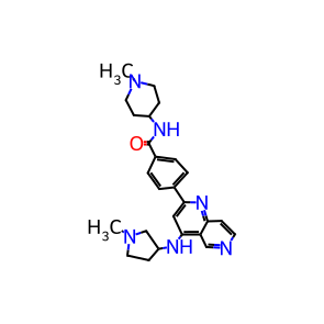 CN1CCC(NC(=O)c2ccc(-c3cc(NC4CCN(C)C4)c4cnccc4n3)cc2)CC1